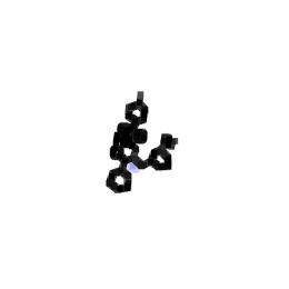 Cc1ccc(S(=O)(=O)NC/C(=C\c2cccc(Br)c2)C(=O)c2ccccc2)cc1